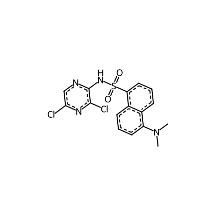 CN(C)c1cccc2c(S(=O)(=O)Nc3ncc(Cl)nc3Cl)cccc12